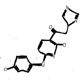 O=C(CC1C=NC=N1)c1ccc(Oc2ccc(Cl)cc2)nc1Cl